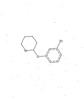 CCc1cccc(OC2CCCC[N]2)c1